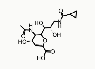 CC(=O)NC1C([C@@H](O)[C@@H](O)CNC(=O)C2CC2)OC(C(=O)O)=C[C@H]1O